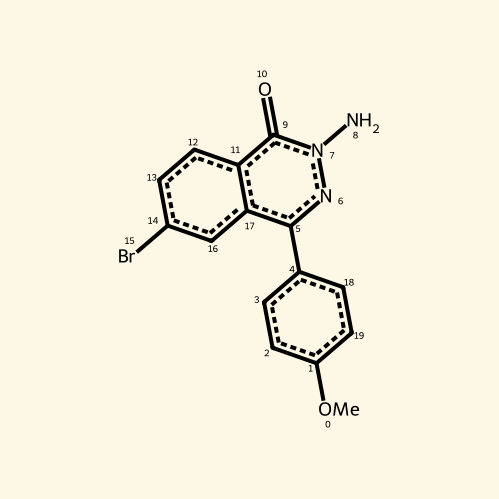 COc1ccc(-c2nn(N)c(=O)c3ccc(Br)cc23)cc1